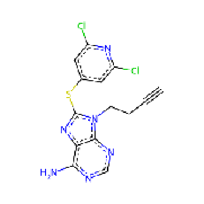 C#CCCn1c(Sc2cc(Cl)nc(Cl)c2)nc2c(N)ncnc21